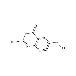 CC1=Nc2ccc(CO)cc2C(=O)C1